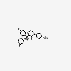 CN1CCN(c2cc(F)ccc2C(C)(O)C2OCCN(c3ccc(C(C)(C)C)cc3)C2=O)CC1